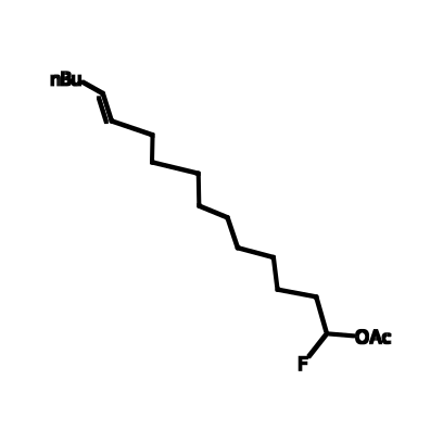 CCCCC=CCCCCCCCCCC(F)OC(C)=O